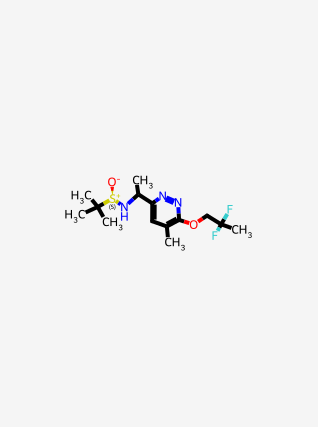 Cc1cc(C(C)N[S@+]([O-])C(C)(C)C)nnc1OCC(C)(F)F